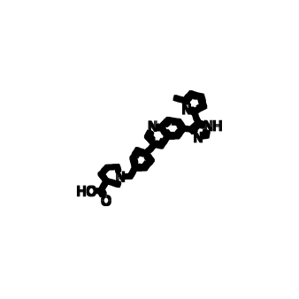 Cc1cccc(-c2[nH]cnc2-c2ccc3ncc(-c4ccc(CN5CCCC(C(=O)O)C5)cc4)cc3c2)n1